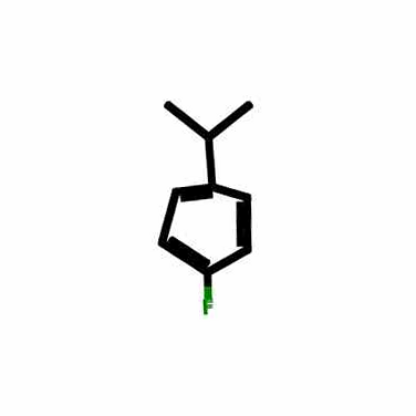 CC(C)c1ccc(F)cc1